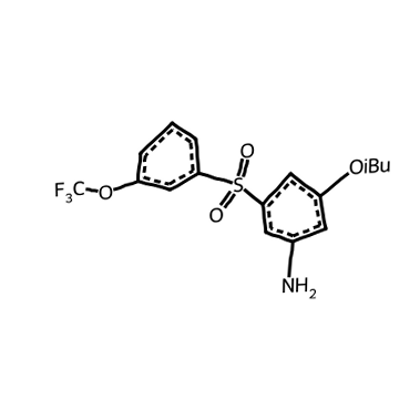 CC(C)COc1cc(N)cc(S(=O)(=O)c2cccc(OC(F)(F)F)c2)c1